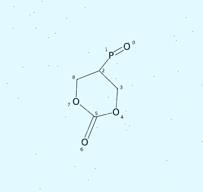 O=PC1COC(=O)OC1